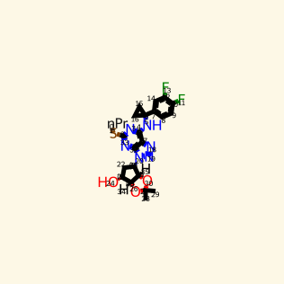 CCCSc1nc(NC2(c3ccc(F)c(F)c3)CC2)c2nnn([C@@H]3C[C@H](O)[C@H]4OC(C)(C)O[C@H]43)c2n1